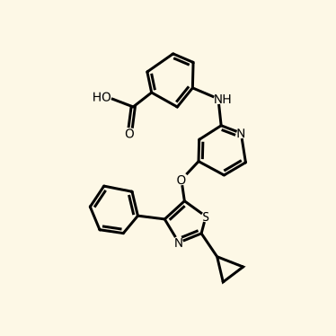 O=C(O)c1cccc(Nc2cc(Oc3sc(C4CC4)nc3-c3ccccc3)ccn2)c1